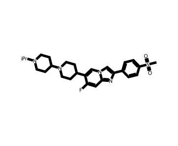 CC(C)N1CCC(N2CCC(c3cn4cc(-c5ccc(S(C)(=O)=O)cc5)nc4cc3F)CC2)CC1